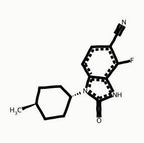 C[C@H]1CC[C@H](n2c(=O)[nH]c3c(F)c(C#N)ccc32)CC1